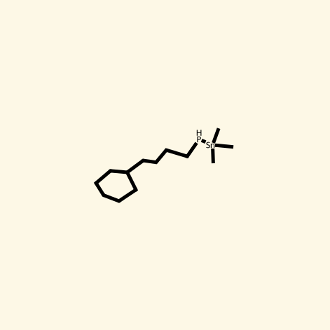 [CH3][Sn]([CH3])([CH3])[PH]CCCCC1CCCCC1